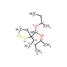 CCC(C)O[SiH](OC(C)CC)C(CC)(CC)SS